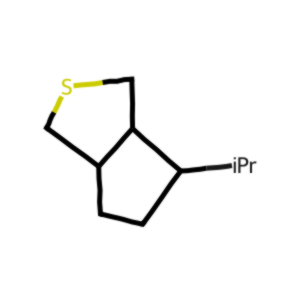 CC(C)C1CCC2CSCC21